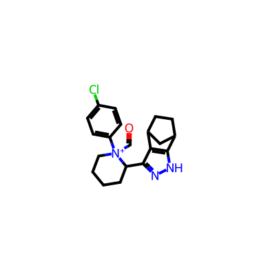 O=C[N+]1(c2ccc(Cl)cc2)CCCCC1c1n[nH]c2c1C1CCC2C1